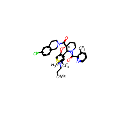 COCCN(C)CCC1N(C(=O)c2ncccc2C(F)(F)F)CCC[C@@]1(Oc1csc(C(F)(F)F)c1)C(=O)N1CCc2cc(Cl)ccc2C1